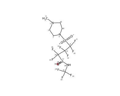 CN1CCN(S(=O)(=O)C(F)(F)C(F)(F)C(F)(F)S(=O)(=O)NC(F)(F)F)CC1